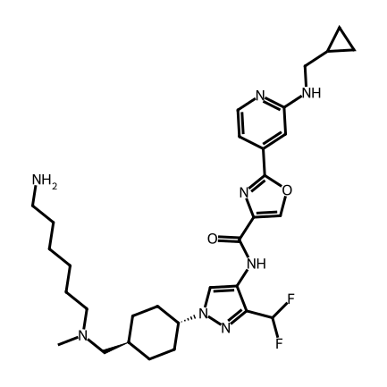 CN(CCCCCCN)C[C@H]1CC[C@H](n2cc(NC(=O)c3coc(-c4ccnc(NCC5CC5)c4)n3)c(C(F)F)n2)CC1